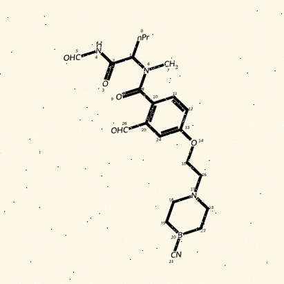 CCCC(C(=O)NC=O)N(C)C(=O)c1ccc(OCCN2CCB(C#N)CC2)cc1C=O